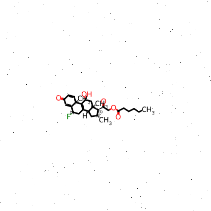 CCCCCC(=O)OCC(=O)[C@H]1[C@H](C)C[C@H]2C3=C([C@@H](O)C[C@@]21C)[C@@]1(C)C=CC(=O)C=C1[C@@H](F)C3